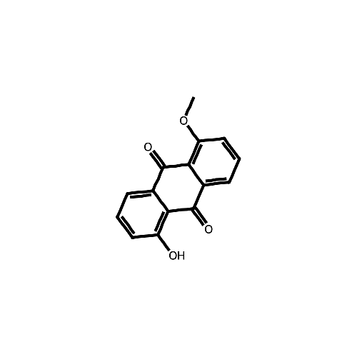 COc1cccc2c1C(=O)c1cccc(O)c1C2=O